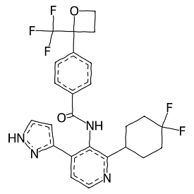 O=C(Nc1c(-c2cc[nH]n2)ccnc1C1CCC(F)(F)CC1)c1ccc(C2(C(F)(F)F)CCO2)cc1